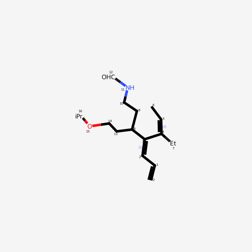 C=C/C=C(\C(=C/C)CC)C(CCNC=O)CCOC(C)C